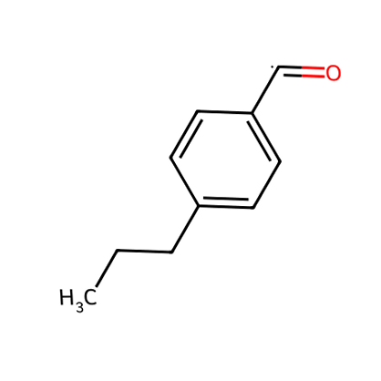 CCCc1ccc([C]=O)cc1